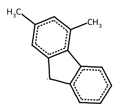 Cc1cc(C)c2c(c1)[CH]c1ccccc1-2